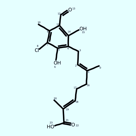 C/C(=C\Cc1c(O)c(Cl)c(C)c(C=O)c1O)CC/C=C(\C)C(=O)O